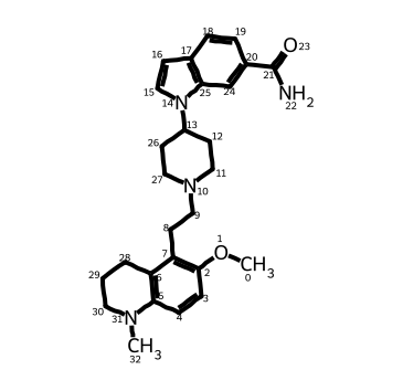 COc1ccc2c(c1CCN1CCC(n3ccc4ccc(C(N)=O)cc43)CC1)CCCN2C